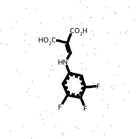 O=C(O)C(=CNc1cc(F)c(F)c(F)c1)C(=O)O